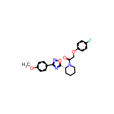 COc1ccc(-c2noc([C@H]3CCCCN3C(=O)COc3ccc(F)cc3)n2)cc1